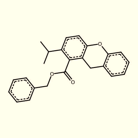 CC(C)c1ccc2c(c1C(=O)OCc1ccccc1)Cc1ccccc1O2